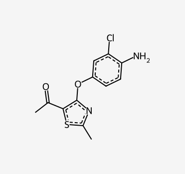 CC(=O)c1sc(C)nc1Oc1ccc(N)c(Cl)c1